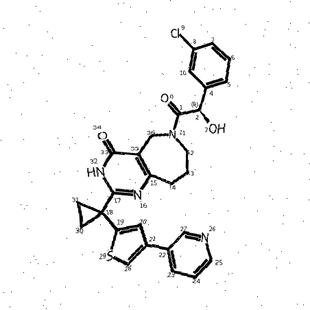 O=C([C@H](O)c1cccc(Cl)c1)N1CCCc2nc(C3(c4cc(-c5cccnc5)cs4)CC3)[nH]c(=O)c2C1